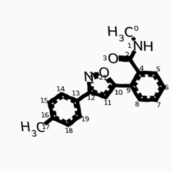 CNC(=O)c1ccccc1-c1cc(-c2ccc(C)cc2)no1